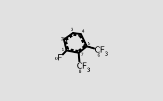 Fc1[c]ccc(C(F)(F)F)c1C(F)(F)F